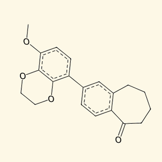 COc1ccc(-c2ccc3c(c2)CCCCC3=O)c2c1OCCO2